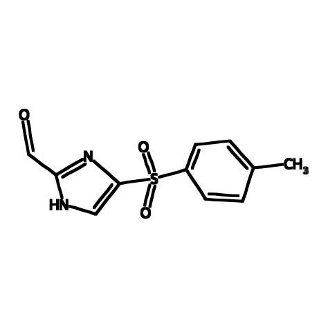 Cc1ccc(S(=O)(=O)c2c[nH]c(C=O)n2)cc1